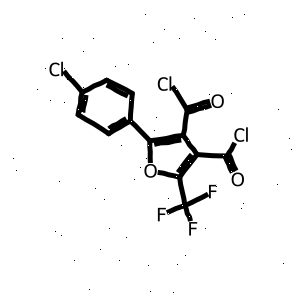 O=C(Cl)c1c(-c2ccc(Cl)cc2)oc(C(F)(F)F)c1C(=O)Cl